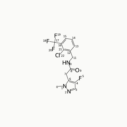 Cn1ncc(F)c1CC(=O)NCc1cccc(C(F)(F)F)c1Cl